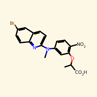 CC(Oc1cc(N(C)c2ccc3cc(Br)ccc3n2)ccc1[N+](=O)[O-])C(=O)O